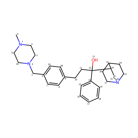 CN1CCN(Cc2ccc(CCC(O)(c3ccccc3)C3CN4CCC3CC4)cc2)CC1